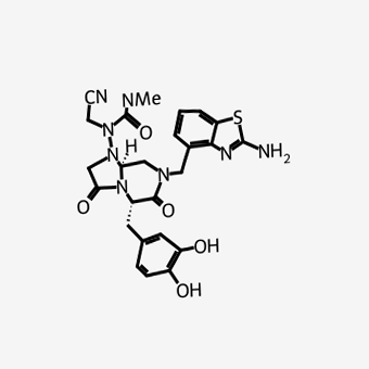 CNC(=O)N(CC#N)N1CC(=O)N2[C@@H](Cc3ccc(O)c(O)c3)C(=O)N(Cc3cccc4sc(N)nc34)C[C@@H]21